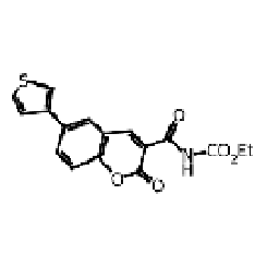 CCOC(=O)NC(=O)c1cc2cc(-c3ccsc3)ccc2oc1=O